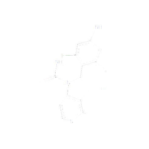 Cl.NC(=O)N1c2ccn[c]c2SC1c1c(Cl)cc(N)cc1Cl